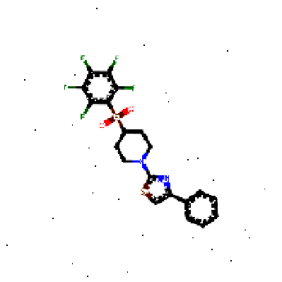 O=S(=O)(c1c(F)c(F)c(F)c(F)c1F)C1CCN(c2nc(-c3ccccc3)cs2)CC1